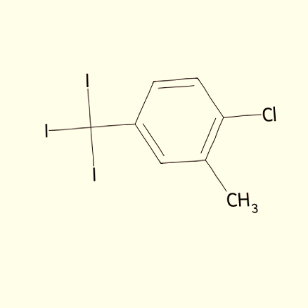 Cc1cc(C(I)(I)I)ccc1Cl